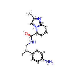 CC(CNC(=O)c1cccc2nc(C(F)(F)F)cn12)c1ccc(N)cc1